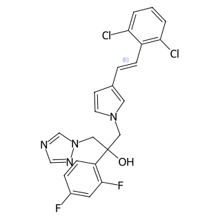 OC(Cn1ccc(/C=C/c2c(Cl)cccc2Cl)c1)(Cn1cncn1)c1ccc(F)cc1F